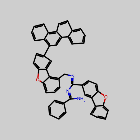 N/C(=N\C(=N/Cc1cccc2oc3ccc(-c4cc5c6ccccc6ccc5c5ccccc45)cc3c12)c1ccc2oc3ccccc3c2c1)c1ccccc1